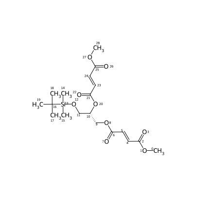 COC(=O)/C=C/C(=O)OC[C@H](CO[Si](C)(C)C(C)(C)C)OC(=O)/C=C/C(=O)OC